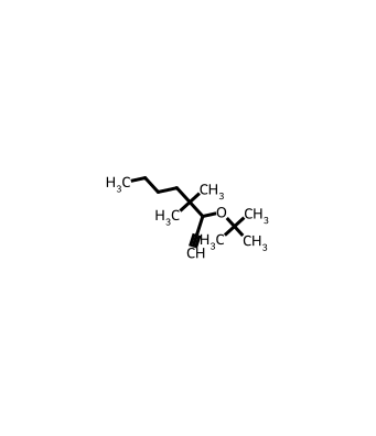 C#CC(OC(C)(C)C)C(C)(C)CCCC